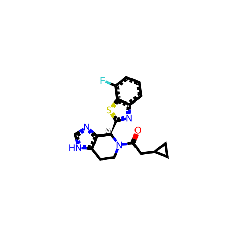 O=C(CC1CC1)N1CCc2[nH]cnc2[C@H]1c1nc2cccc(F)c2s1